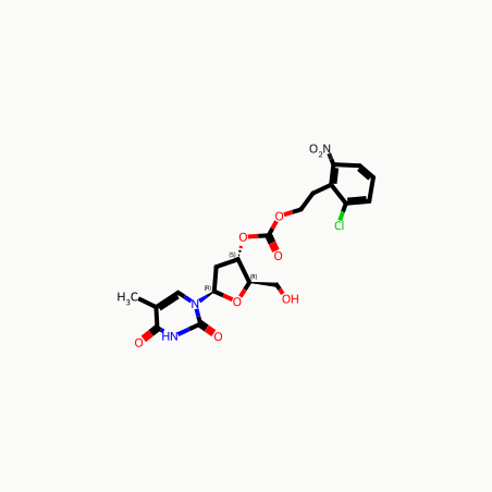 Cc1cn([C@H]2C[C@H](OC(=O)OCCc3c(Cl)cccc3[N+](=O)[O-])[C@@H](CO)O2)c(=O)[nH]c1=O